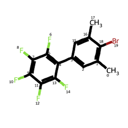 Cc1cc(-c2c(F)c(F)c(F)c(F)c2F)cc(C)c1Br